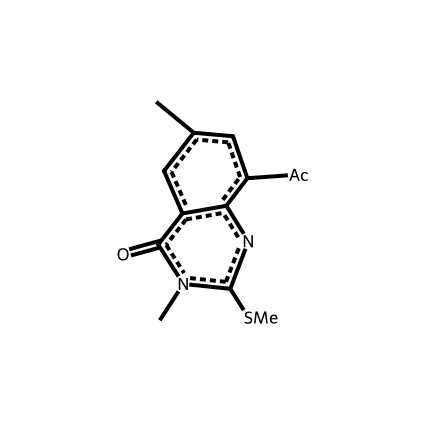 CSc1nc2c(C(C)=O)cc(C)cc2c(=O)n1C